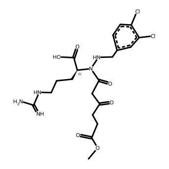 COC(=O)CCC(=O)CC(=O)N(NCc1ccc(Cl)c(Cl)c1)[C@@H](CCCNC(=N)N)C(=O)O